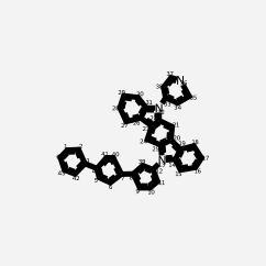 c1ccc(-c2ccc(-c3cccc(-n4c5ccccc5c5cc6c(cc54)c4ccccc4n6-c4ccncc4)c3)cc2)cc1